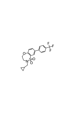 O=S1(=O)c2cc(-c3ccc(C(F)(F)F)cc3)ccc2OCCN1CC1CC1